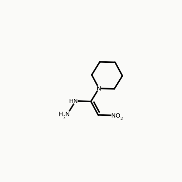 NN/C(=C/[N+](=O)[O-])N1CCCCC1